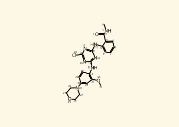 CNC(=O)c1ccccc1Nc1nc(Cl)nc(Nc2ccc(N3CCOCC3)cc2OC)n1